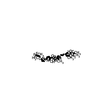 Cc1nn(CCC[C@@H]2CN(C(=O)OC(C)(C)C)C(C)(C)C2)cc1S(=O)(=O)NC(=O)c1ccc(-n2ccc(OCC(C)(C)C(F)(F)F)n2)nc1Cl